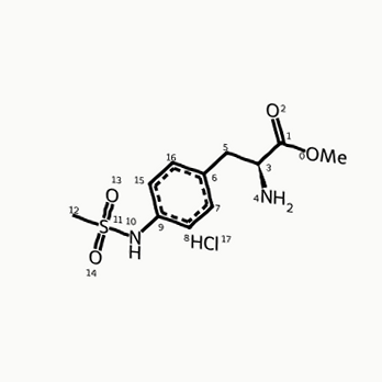 COC(=O)[C@@H](N)Cc1ccc(NS(C)(=O)=O)cc1.Cl